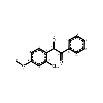 COc1ccc(C(=O)C(=O)c2ccccc2)c(Cl)c1